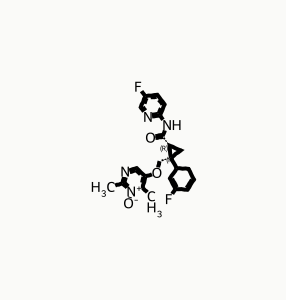 Cc1ncc(OC[C@@]2(C3C=C(F)C=CC3)C[C@H]2C(=O)Nc2ccc(F)cn2)c(C)[n+]1[O-]